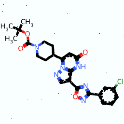 CC(C)(C)OC(=O)N1CCC(c2cc(=O)[nH]c3c(-c4nc(-c5cccc(Cl)c5)no4)cnn23)CC1